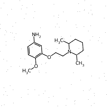 COc1ccc(N)cc1OCCN1C(C)CCCC1C